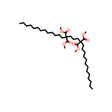 CCCCCCCCCCCCCC(CCCC(CCCCCCCCCCCCC)(C(=O)OC)C(=O)OC)(C(=O)OC)C(=O)OC